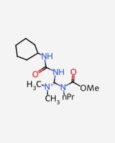 CCCN(C(=O)OC)C(NC(=O)NC1CCCCC1)=[N+](C)C